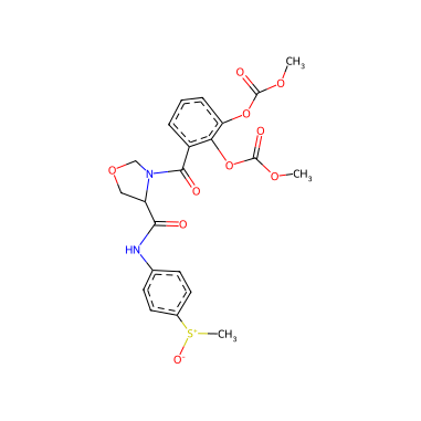 COC(=O)Oc1cccc(C(=O)N2COCC2C(=O)Nc2ccc([S+](C)[O-])cc2)c1OC(=O)OC